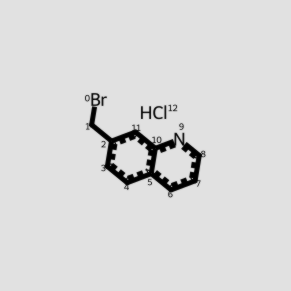 BrCc1ccc2cccnc2c1.Cl